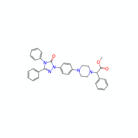 COC(=O)C(c1ccccc1)N1CCN(c2ccc(-n3nc(-c4ccccc4)n(-c4ccccc4)c3=O)cc2)CC1